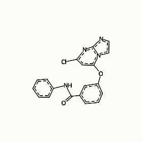 O=C(Nc1ccccc1)c1cccc(Oc2cc(Cl)nc3nccn23)c1